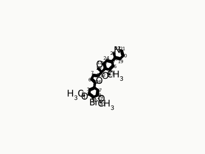 COc1cc(-c2ccc(C(C=O)(OC)c3ccc(-c4cccnc4)cc3)o2)cc(OC)c1Br